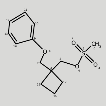 CS(=O)(=O)OCC1(COc2ccccc2)CCC1